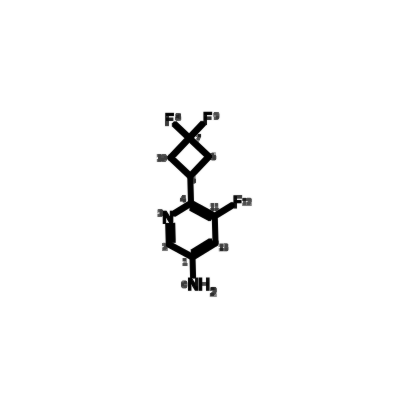 Nc1cnc(C2CC(F)(F)C2)c(F)c1